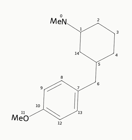 CNC1CCCC(Cc2ccc(OC)cc2)C1